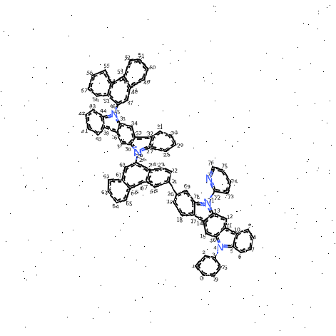 c1ccc(-n2c3ccccc3c3cc4c(cc32)c2ccc(-c3ccc5c(-n6c7ccccc7c7cc8c(cc76)c6ccccc6n8-c6cc7ccccc7c7ccccc67)cc6ccccc6c5c3)cc2n4-c2ccccn2)cc1